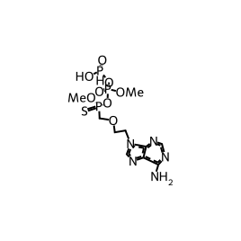 COP(=O)(O[PH](=O)O)OP(=S)(COCCn1cnc2c(N)ncnc21)OC